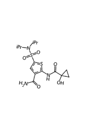 CC(C)N(C(C)C)S(=O)(=O)c1cc(C(N)=O)c(NC(=O)C2(O)CC2)s1